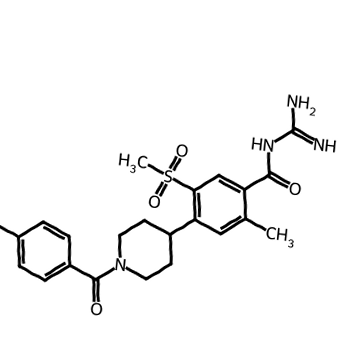 Cc1cc(C2CCN(C(=O)c3ccc(F)cc3)CC2)c(S(C)(=O)=O)cc1C(=O)NC(=N)N